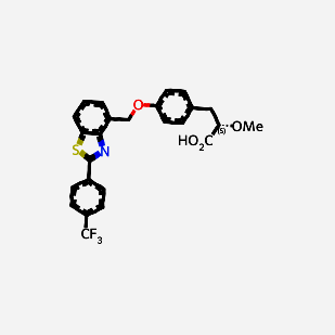 CO[C@@H](Cc1ccc(OCc2cccc3sc(-c4ccc(C(F)(F)F)cc4)nc23)cc1)C(=O)O